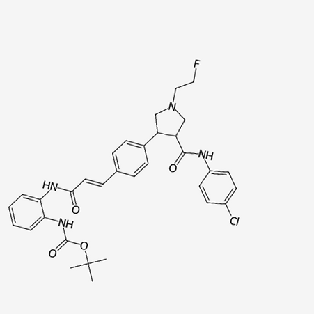 CC(C)(C)OC(=O)Nc1ccccc1NC(=O)C=Cc1ccc(C2CN(CCF)CC2C(=O)Nc2ccc(Cl)cc2)cc1